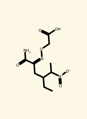 CCC(CC(=NOCC(=O)O)C(N)=O)C(C)[N+](=O)[O-]